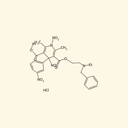 CCN(CCOC(=O)C1=C(C)N([N+](=O)[O-])C(C)=C(C(=O)OC(C)C)C1(c1cccc([N+](=O)[O-])c1)[N+](=O)[O-])Cc1ccccc1.Cl